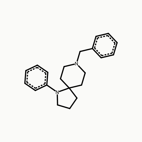 c1ccc(CN2CCC3(CCCN3c3ccccc3)CC2)cc1